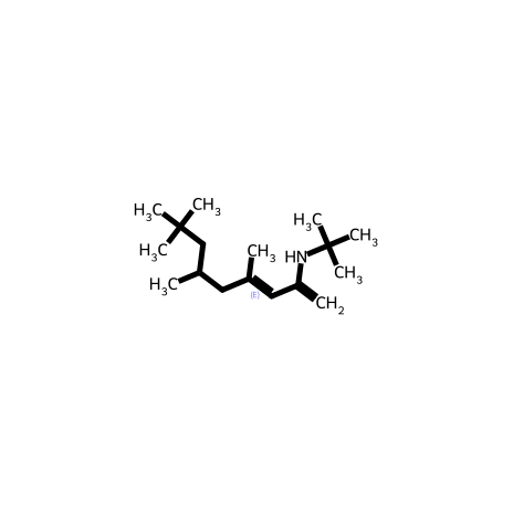 C=C(/C=C(\C)CC(C)CC(C)(C)C)NC(C)(C)C